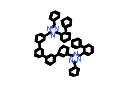 c1ccc(-c2nc(-c3cccc(-c4cccc(-c5cccc(-c6cccc(-c7nc(-c8ccccc8)nc(-c8ccccc8-c8ccccc8)n7)c6)c5)c4)c3)nc(-c3ccccc3-c3ccccc3)n2)cc1